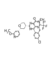 COc1cc([C@H]2C[C@@H](c3nc(-c4ccc(Cl)cc4F)c4nc(C(F)(F)F)n(C)c(=O)c4n3)CCO2)ccn1